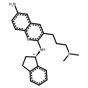 CN(C)CCCc1cc2cc(N)ccc2nc1N[C@@H]1CCc2ccccc21